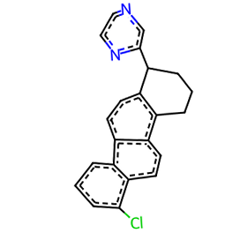 Clc1cccc2c1ccc1c3c(ccc12)C(c1cnccn1)CCC3